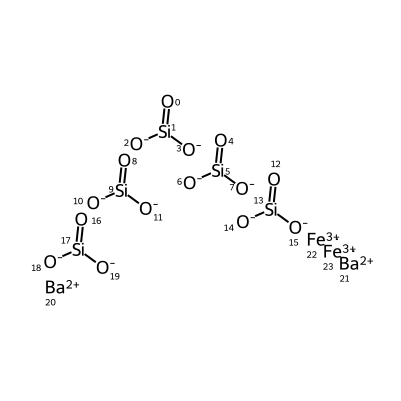 O=[Si]([O-])[O-].O=[Si]([O-])[O-].O=[Si]([O-])[O-].O=[Si]([O-])[O-].O=[Si]([O-])[O-].[Ba+2].[Ba+2].[Fe+3].[Fe+3]